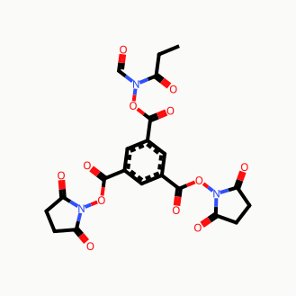 CCC(=O)N(C=O)OC(=O)c1cc(C(=O)ON2C(=O)CCC2=O)cc(C(=O)ON2C(=O)CCC2=O)c1